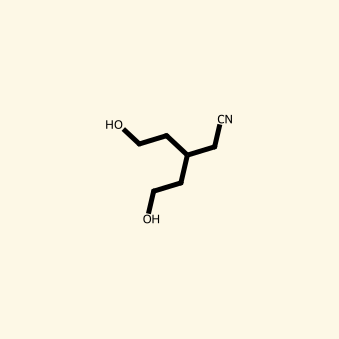 N#CCC(CCO)CCO